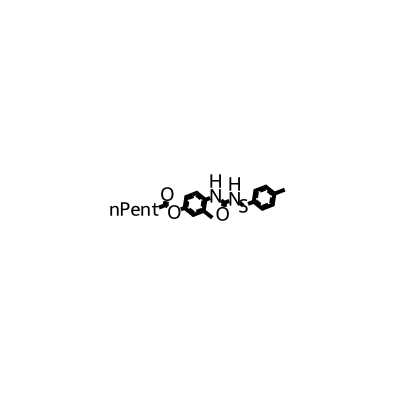 CCCCCC(=O)Oc1ccc(NC(=O)NSc2ccc(C)cc2)c(C)c1